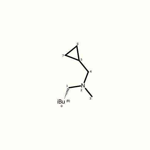 CC[C@@H](C)CN(C)CC1CC1